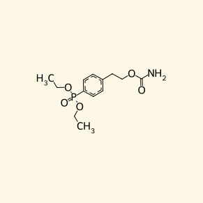 CCOP(=O)(OCC)c1ccc(CCOC(N)=O)cc1